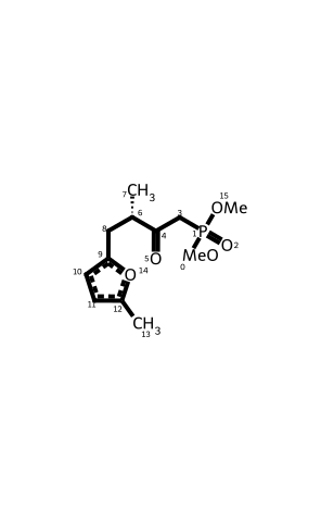 COP(=O)(CC(=O)[C@@H](C)Cc1ccc(C)o1)OC